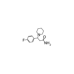 NC(=O)CC(c1ccc(F)cc1)N1CCCCC1